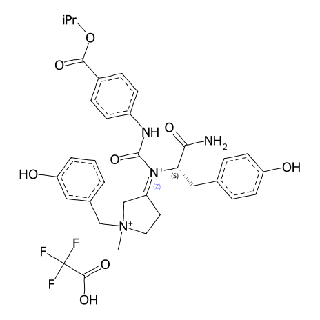 CC(C)OC(=O)c1ccc(NC(=O)/[N+](=C2/CC[N+](C)(Cc3cccc(O)c3)C2)[C@@H](Cc2ccc(O)cc2)C(N)=O)cc1.O=C(O)C(F)(F)F